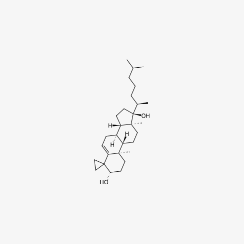 CC(C)CCC[C@@H](C)[C@@]1(O)CC[C@H]2[C@@H]3CC=C4C5(CC5)[C@@H](O)CC[C@]4(C)[C@H]3CC[C@@]21C